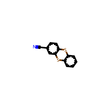 N#Cc1ccc2c(c1)Sc1ccccc1S2